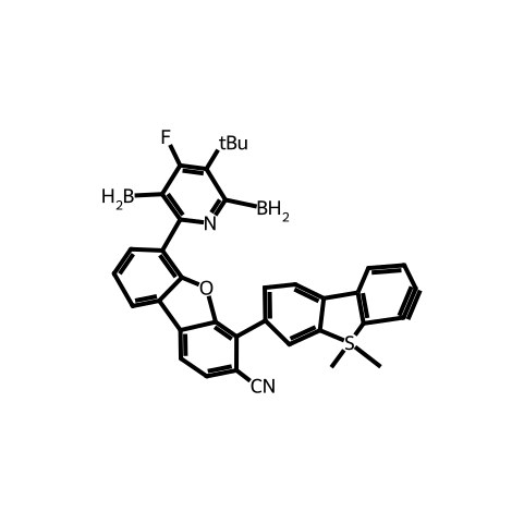 Bc1nc(-c2cccc3c2oc2c(-c4ccc5c(c4)S(C)(C)c4c#cccc4-5)c(C#N)ccc23)c(B)c(F)c1C(C)(C)C